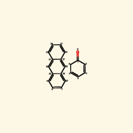 O=C1C=CC=CC1.c1ccc2cc3ccccc3cc2c1